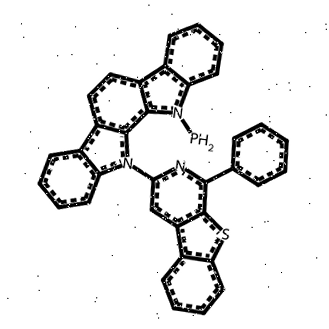 Pn1c2ccccc2c2ccc3c4ccccc4n(-c4cc5c(sc6ccccc65)c(-c5ccccc5)n4)c3c21